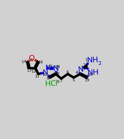 Cl.Nc1nc(CCCc2cn(Cc3ccoc3)nn2)c[nH]1